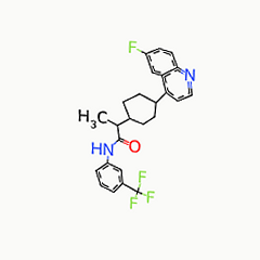 CC(C(=O)Nc1cccc(C(F)(F)F)c1)C1CCC(c2ccnc3ccc(F)cc23)CC1